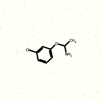 CC(N)Oc1cccc(Cl)c1